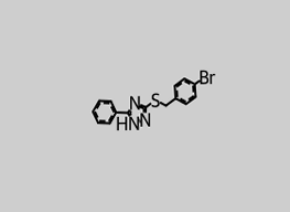 Brc1ccc(CSc2n[nH]c(-c3ccccc3)n2)cc1